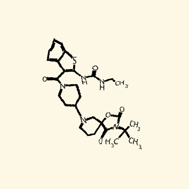 CCNC(=O)Nc1sc2ccccc2c1C(=O)N1CCC(N2CCCC3(C2)OC(=O)N(C(C)(C)C)C3=O)CC1